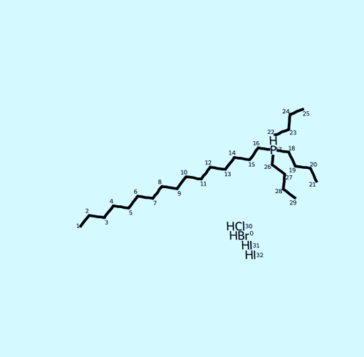 Br.CCCCCCCCCCCCCCCC[PH](CCCC)(CCCC)CCCC.Cl.I.I